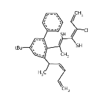 C=C/C=C\C(C)c1cc(C(C)(C)C)cc(-c2ccccc2)c1/C(C)=C(S)/C(S)=C(/Cl)C=C